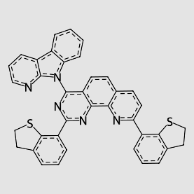 c1cc2c(c(-c3ccc4ccc5c(-n6c7ccccc7c7cccnc76)nc(-c6cccc7c6SCC7)nc5c4n3)c1)SCC2